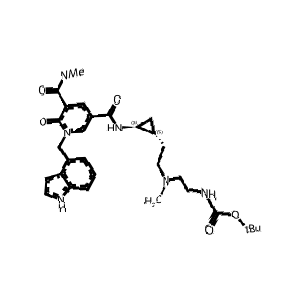 CNC(=O)c1cc(C(=O)N[C@H]2C[C@@H]2CCN(C)CCNC(=O)OC(C)(C)C)cn(Cc2cccc3[nH]ccc23)c1=O